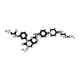 C=CC(=O)Nc1cccc(N2C(=O)N(C)Cc3cnc(Nc4ccc(N5CCC(NCCNC)CC5)cc4)nc32)c1